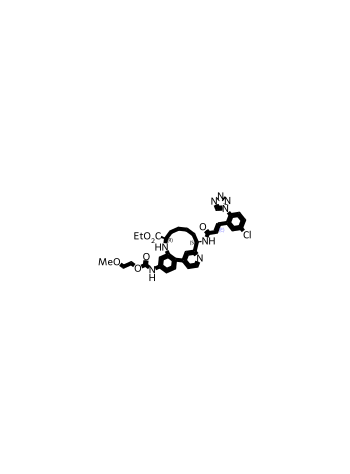 CCOC(=O)[C@H]1CCCC[C@H](NC(=O)/C=C/c2cc(Cl)ccc2-n2cnnn2)c2cc(ccn2)-c2ccc(NC(=O)OCCOC)cc2N1